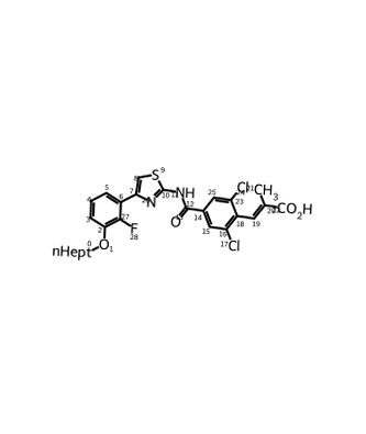 CCCCCCCOc1cccc(-c2csc(NC(=O)c3cc(Cl)c(C=C(C)C(=O)O)c(Cl)c3)n2)c1F